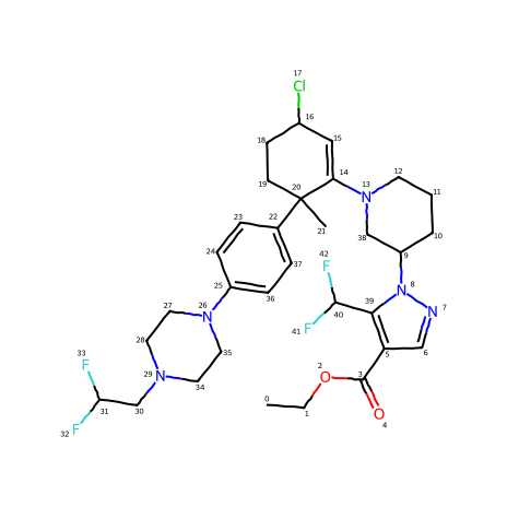 CCOC(=O)c1cnn(C2CCCN(C3=CC(Cl)CCC3(C)c3ccc(N4CCN(CC(F)F)CC4)cc3)C2)c1C(F)F